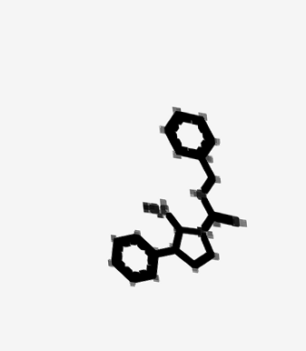 O=C(O)C1C(c2ccccc2)CCN1C(=O)OCc1ccccc1